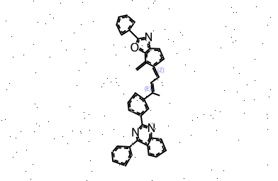 C=c1/c(=C\C=C(/C)c2cccc(-c3nc(-c4ccccc4)c4ccccc4n3)c2)ccc2nc(-c3ccccc3)oc12